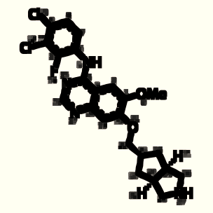 COc1cc2c(Nc3ccc(Cl)c(Cl)c3F)ncnc2cc1OC[C@H]1C[C@H]2CNC[C@H]2C1